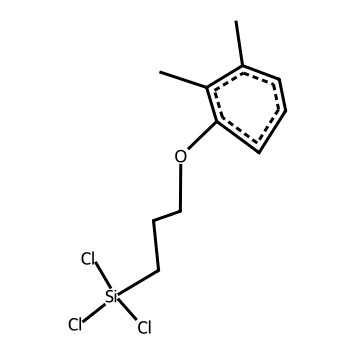 Cc1cccc(OCCC[Si](Cl)(Cl)Cl)c1C